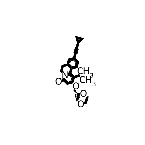 CC(C)c1c(OC[C@@H]2COCCO2)cc(=O)n2c1-c1ccc(C#CC3CC3)cc1CC2